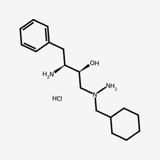 Cl.N[C@@H](Cc1ccccc1)[C@@H](O)CN(N)CC1CCCCC1